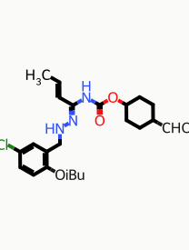 C/C=C/C(=N\NCc1cc(Cl)ccc1OCC(C)C)NC(=O)OC1CCC(C=O)CC1